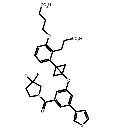 O=C(O)CCCOc1cccc(C23CC2(Oc2cc(C(=O)N4CCC(F)(F)C4)cc(-c4ccsc4)c2)C3)c1CCC(=O)O